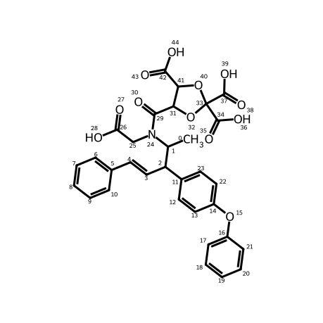 CC(C(C=Cc1ccccc1)c1ccc(Oc2ccccc2)cc1)N(CC(=O)O)C(=O)C1OC(C(=O)O)(C(=O)O)OC1C(=O)O